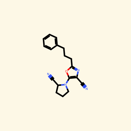 N#Cc1nc(CCCc2ccccc2)oc1N1CCCC1C#N